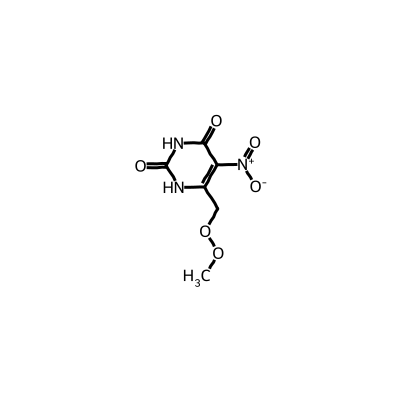 COOCc1[nH]c(=O)[nH]c(=O)c1[N+](=O)[O-]